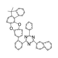 CC1(C)c2ccccc2-c2c1ccc1c2Oc2ccc(-c3ccccc3-c3nc(-c4ccccc4)nc(-c4ccc5ccccc5c4)n3)cc2O1